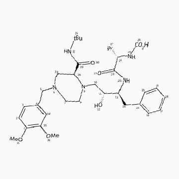 COc1ccc(CN2CCN(C[C@@H](O)[C@H](Cc3ccccc3)NC(=O)[C@@H](NC(=O)O)C(C)C)[C@H](C(=O)NC(C)(C)C)C2)cc1OC